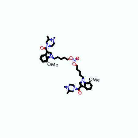 COc1cccc2c(C(=O)N3CCN(C)C(C)C3)cn(CCCCCO[N+](=O)OCCCCCn3cc(C(=O)N4CCN(C)C(C)C4)c4cccc(OC)c43)c12